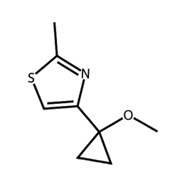 COC1(c2csc(C)n2)CC1